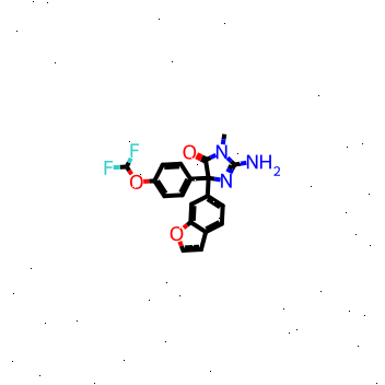 CN1C(=O)C(c2ccc(OC(F)F)cc2)(c2ccc3ccoc3c2)N=C1N